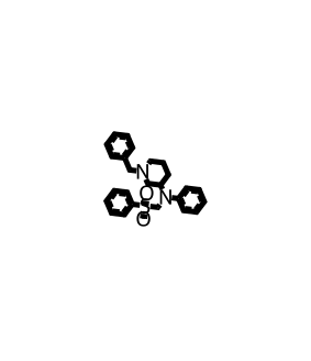 O=S(=O)(CN(c1ccccc1)C1CCCN(Cc2ccccc2)C1)c1ccccc1